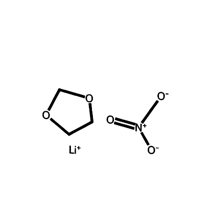 C1COCO1.O=[N+]([O-])[O-].[Li+]